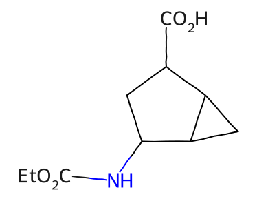 CCOC(=O)NC1CC(C(=O)O)C2CC12